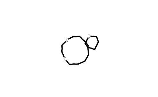 C1CCCCCC2=C(CCCC1)CCCO2